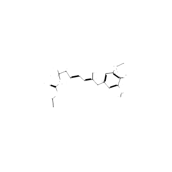 CCOC(=O)N[C@@](C)(O)C/C=C/C=C(\C)Cc1cc(NC)c(Cl)c(OC)c1